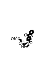 COCCC(=O)OCC1CN(C(=O)c2ccc3c(Cl)c4c(nc3c2)CCCC4)CCN1